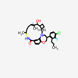 CCCc1c(C2COc3ccc4cc3N(C2)C[C@@H]2CCC2C(O)/C(C)=C/CCC(C)SNC4=O)ccc(Cl)c1F